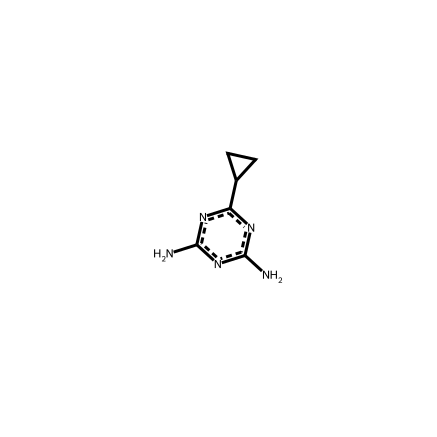 Nc1nc(N)nc(C2CC2)n1